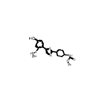 CC(C)OC(=O)NC1CCC(c2ncc(-c3ccc(O)cc3SNC(C)(C)C)s2)CC1